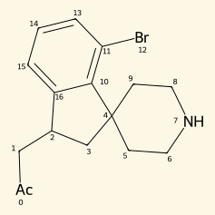 CC(=O)CC1CC2(CCNCC2)c2c(Br)cccc21